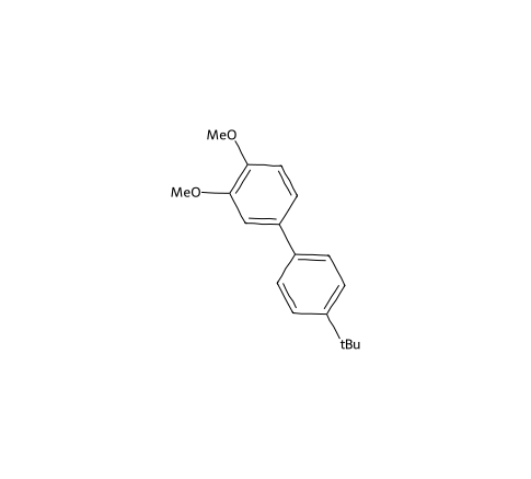 COc1ccc(-c2ccc(C(C)(C)C)cc2)cc1OC